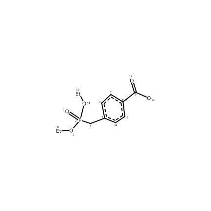 CCOP(=O)(Cc1ccc(C([O])=O)cc1)OCC